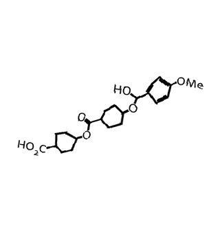 COc1ccc(C(O)OC2CCC(C(=O)OC3CCC(C(=O)O)CC3)CC2)cc1